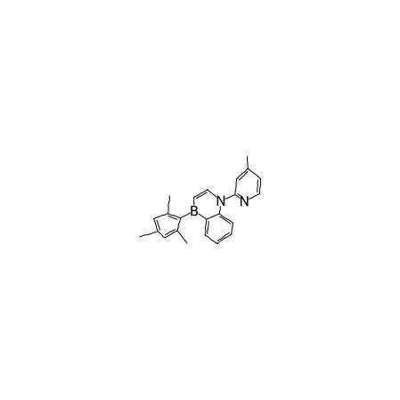 Cc1ccnc(N2C=CB(c3c(C)cc(C)cc3C)c3ccccc32)c1